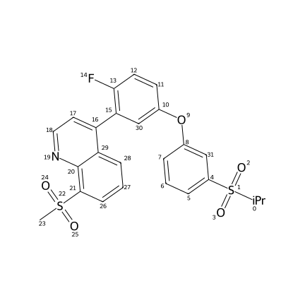 CC(C)S(=O)(=O)c1cccc(Oc2ccc(F)c(-c3ccnc4c(S(C)(=O)=O)cccc34)c2)c1